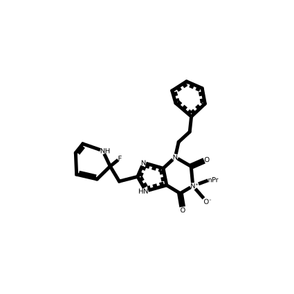 CCC[N+]1([O-])C(=O)c2[nH]c(CC3(F)C=CC=CN3)nc2N(CCc2ccccc2)C1=O